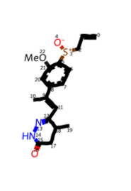 C=CC[S+]([O-])c1ccc(C(C)=CC2=NNC(=O)CC2C)cc1OC